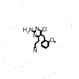 COc1ccccc1Cc1c(Cl)nc(N)nc1CCC#N